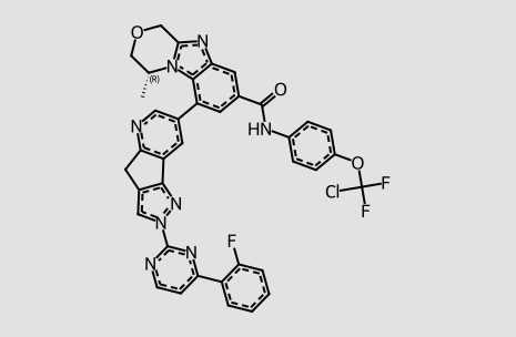 C[C@@H]1COCc2nc3cc(C(=O)Nc4ccc(OC(F)(F)Cl)cc4)cc(-c4cnc5c(c4)-c4nn(-c6nccc(-c7ccccc7F)n6)cc4C5)c3n21